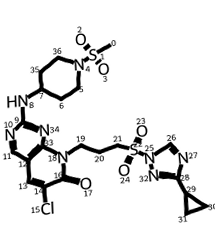 CS(=O)(=O)N1CCC(Nc2ncc3cc(Cl)c(=O)n(CCCS(=O)(=O)n4cnc(C5CC5)n4)c3n2)CC1